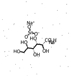 O=C(O)[C@H](O)[C@@H](O)[C@H](O)[C@H](O)CO.[Na+].[Na+].[O]=[Sn]([O-])[O-]